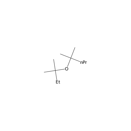 CCCC(C)(C)OC(C)(C)CC